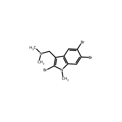 CN(C)Cc1c(Br)n(C)c2cc(Br)c(Br)cc12